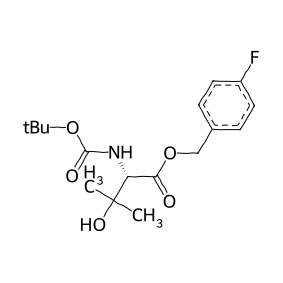 CC(C)(C)OC(=O)N[C@H](C(=O)OCc1ccc(F)cc1)C(C)(C)O